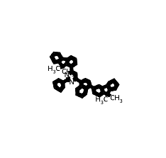 CC1(C)c2ccccc2-c2cc(-c3ccc(-c4cc(-c5cccc6c5C(C)(C)c5ccccc5-6)nc(-c5ccccc5)n4)c4ccccc34)ccc21